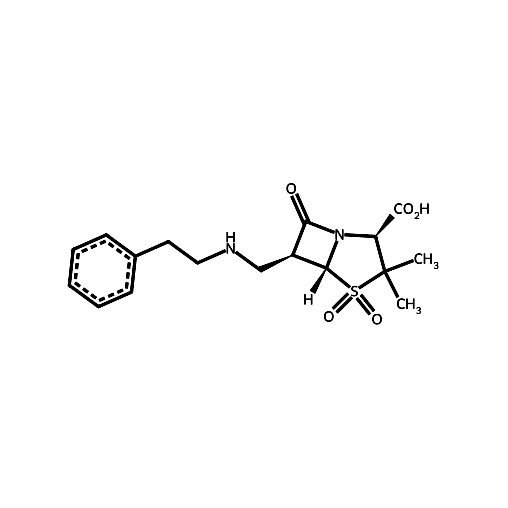 CC1(C)[C@H](C(=O)O)N2C(=O)[C@H](CNCCc3ccccc3)[C@H]2S1(=O)=O